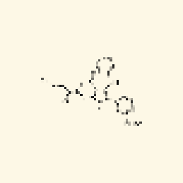 CC(=O)Nc1cc(-c2[nH]c3c(c2Nc2ccccc2)C(=O)CN(C(=O)CCC(C)(C)C)C3)ccn1